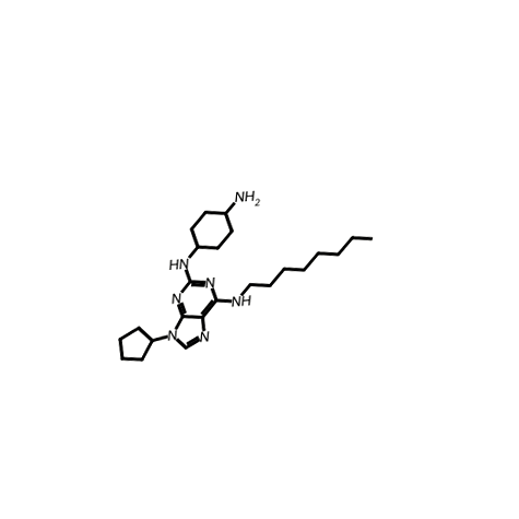 CCCCCCCCNc1nc(NC2CCC(N)CC2)nc2c1ncn2C1CCCC1